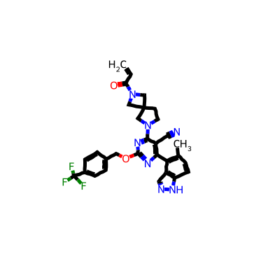 C=CC(=O)N1CC2(CCN(c3nc(OCc4ccc(C(F)(F)F)cc4)nc(-c4c(C)ccc5[nH]ncc45)c3C#N)C2)C1